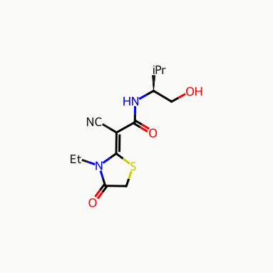 CCN1C(=O)CS/C1=C(/C#N)C(=O)N[C@H](CO)C(C)C